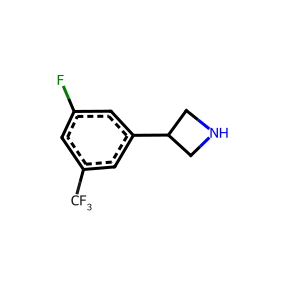 Fc1cc(C2CNC2)cc(C(F)(F)F)c1